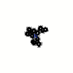 CC1(C)c2ccccc2-c2cccc(-c3ccc(N(c4ccc5c(c4)C4(c6ccccc6-5)C5CC6CC(C5)CC4C6)c4cccc5c4-c4ccccc4C5(c4ccccc4)c4ccccc4)cc3)c21